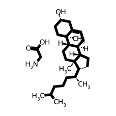 CC(C)CCC[C@@H](C)[C@H]1CC[C@H]2[C@@H]3CC=C4C[C@@H](O)CC[C@]4(C)[C@H]3CC[C@]12C.NCC(=O)O